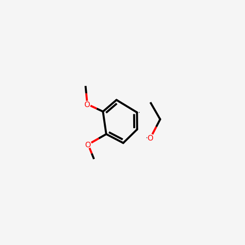 CC[O].COc1c[c]ccc1OC